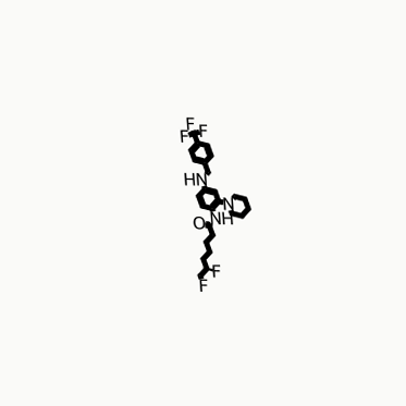 O=C(CCCC[C@@H](F)CF)Nc1ccc(NCc2ccc(C(F)(F)F)cc2)cc1N1CCCCC1